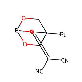 CCC12COB(OC1)OC2=C(C#N)C#N